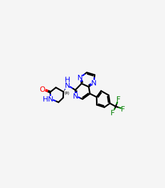 O=C1C[C@H](Nc2ncc(-c3ccc(C(F)(F)F)cc3)c3nccnc23)CCN1